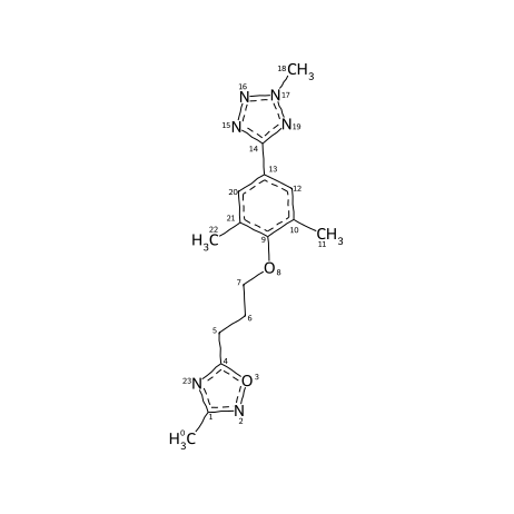 Cc1noc(CCCOc2c(C)cc(-c3nnn(C)n3)cc2C)n1